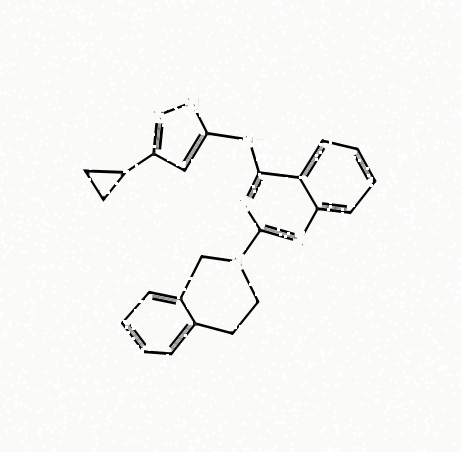 c1ccc2c(c1)CCN(c1nc(Nc3cc(C4CC4)n[nH]3)c3ccccc3n1)C2